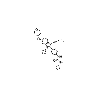 O=C(Nc1ccc(-c2c(C#CC(F)(F)F)c3ccc(OC4CCOCC4)cc3n2C2CCC2)cc1)NC1CCC1